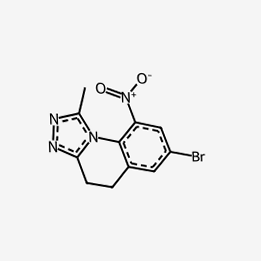 Cc1nnc2n1-c1c(cc(Br)cc1[N+](=O)[O-])CC2